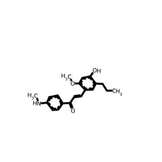 CCCc1cc(C=CC(=O)c2ccc(NC)cc2)c(OC)cc1O